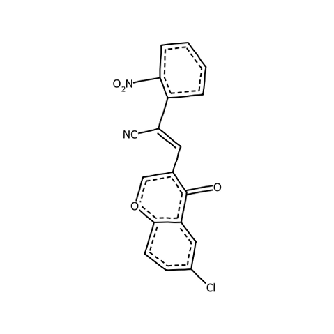 N#C/C(=C\c1coc2ccc(Cl)cc2c1=O)c1ccccc1[N+](=O)[O-]